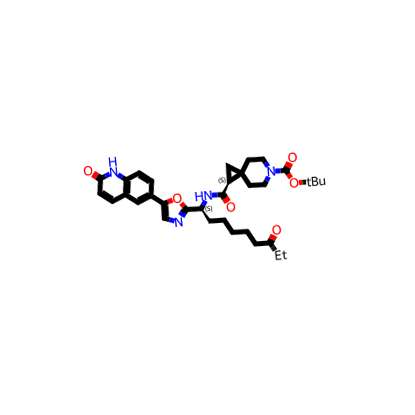 CCC(=O)CCCCC[C@H](NC(=O)[C@H]1CC12CCN(C(=O)OC(C)(C)C)CC2)c1ncc(-c2ccc3[nH]c(=O)ccc3c2)o1